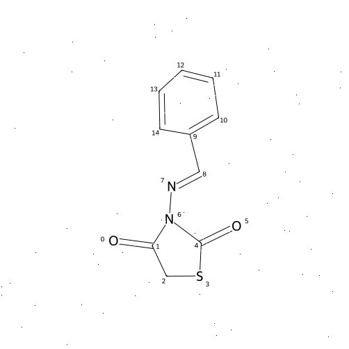 O=C1CSC(=O)N1/N=C/c1ccccc1